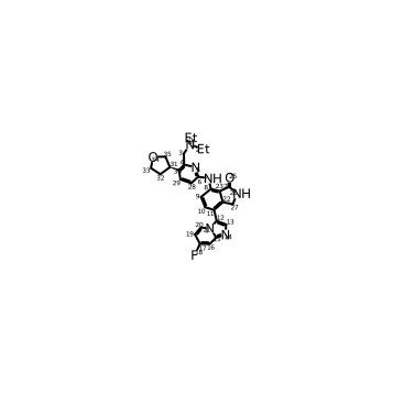 CCN(CC)Cc1nc(Nc2ccc(-c3cnc4cc(F)ccn34)c3c2C(=O)NC3)ccc1[C@H]1CCOC1